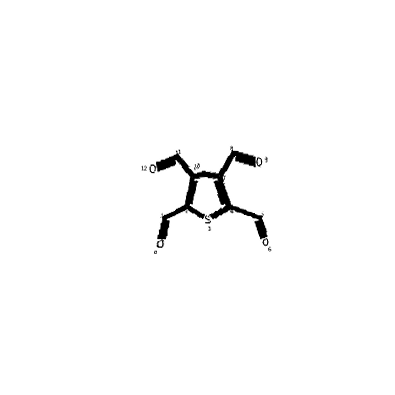 O=Cc1sc(C=O)c(C=O)c1C=O